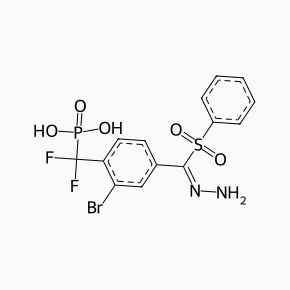 NN=C(c1ccc(C(F)(F)P(=O)(O)O)c(Br)c1)S(=O)(=O)c1ccccc1